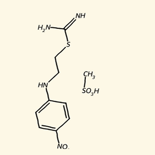 CS(=O)(=O)O.N=C(N)SCCNc1ccc([N+](=O)[O-])cc1